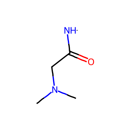 CN(C)CC([NH])=O